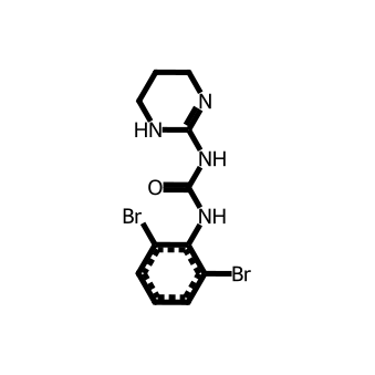 O=C(NC1=NCCCN1)Nc1c(Br)cccc1Br